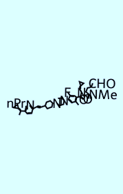 CCCc1nc(C#CC2CCC(N3CCN(c4cc(C)c(C(=O)N(C=C5CC5)C(CCC=O)C(=O)NC)cc4F)CC3)CC2)ccc1C(C)=C1CC1